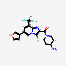 NC1CCN(C(=O)c2nc3c(C(F)(F)F)cc(-c4ccoc4)cn3c2Cl)CC1